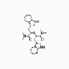 CN(C)C(=O)C(Cc1c[nH]c2ccccc12)SC(Cc1c[nH]c2ccccc12)C(=O)N(C)C